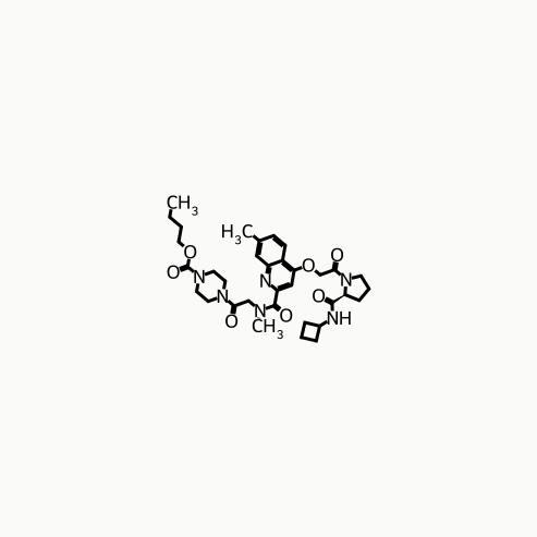 CCCCOC(=O)N1CCN(C(=O)CN(C)C(=O)c2cc(OCC(=O)N3CCC[C@H]3C(=O)NC3CCC3)c3ccc(C)cc3n2)CC1